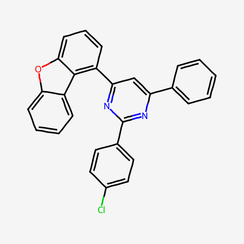 Clc1ccc(-c2nc(-c3ccccc3)cc(-c3cccc4oc5ccccc5c34)n2)cc1